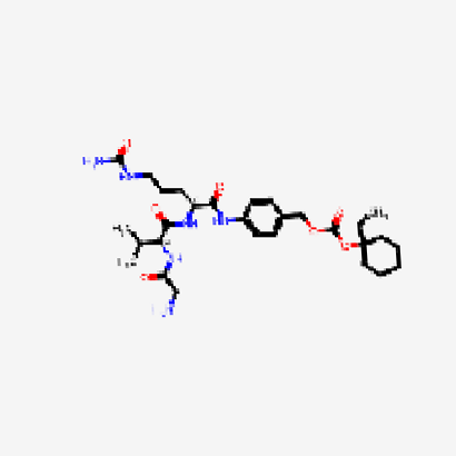 CCC1(OC(=O)OCc2ccc(NC(=O)[C@H](CCCNC(N)=O)NC(=O)[C@@H](NC(=O)CN)C(C)C)cc2)CCCCC1